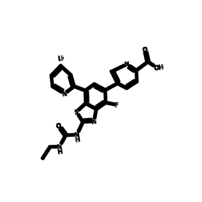 CCNC(=O)Nc1nc2c(F)c(-c3ccc(C(=O)O)nc3)cc(-c3ccccn3)c2s1.[Li]